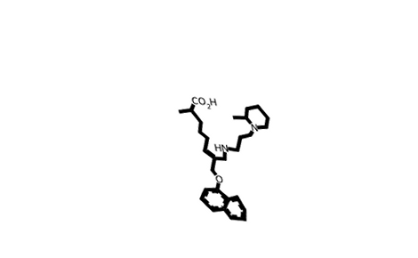 CC(CCCC=C(CNCCCN1CCCCC1C)COc1cccc2ccccc12)C(=O)O